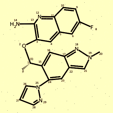 C[C@H](Oc1cc2cc(F)ccc2nc1N)c1cc2nn(C)cc2cc1-n1cccn1